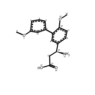 COc1cccc(-c2cc([C@@H](N)CC(=O)O)ccc2OC)c1